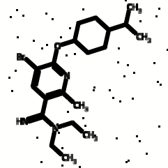 CCN(CC)C(=N)c1cc(Br)c(OC2CCC(C(C)C)CC2)nc1C